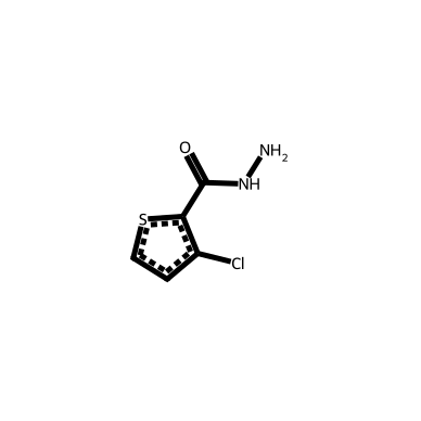 NNC(=O)c1sccc1Cl